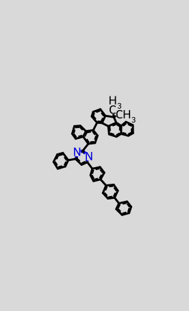 CC1(C)c2cccc(-c3ccc(-c4nc(-c5ccccc5)cc(-c5ccc(-c6ccc(-c7ccccc7)cc6)cc5)n4)c4ccccc34)c2-c2ccc3ccccc3c21